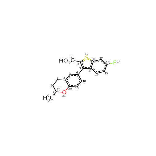 C[C@H]1CCc2cc(-c3c(C(=O)O)sc4cc(F)ccc34)ccc2O1